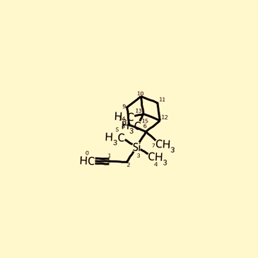 C#CC[Si](C)(C)C1(C)CCC2CC1C2(C)C